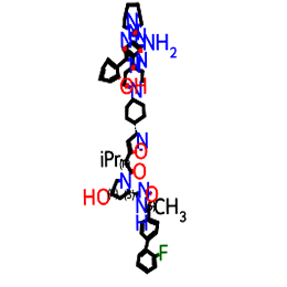 CC(C)[C@@H](C(=O)N1C[C@H](O)C[C@H]1C1=NO[C@@](C)(c2ccc(-c3ccccc3F)cc2)N1)c1cc([C@H]2CC[C@@H](N3CCC(c4cnc(N5C6CCC5CN(c5cc(-c7ccccc7O)nnc5N)C6)nc4)CC3)CC2)no1